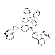 CC1(C)c2ccccc2-c2ccc(N(c3ccc(-c4ccc5ccc6ccccc6c5c4)cc3)c3cccc4c3-c3ccccc3C4(c3ccccc3)c3ccccc3)cc21